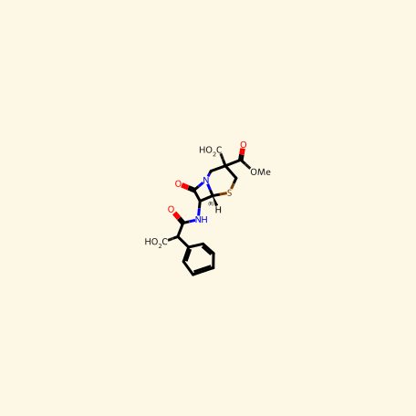 COC(=O)C1(C(=O)O)CS[C@@H]2C(NC(=O)C(C(=O)O)c3ccccc3)C(=O)N2C1